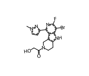 Cn1ccc(-c2nc(F)c(Br)c3[nH]c4c(c23)CN(C(=O)CO)CC4)n1